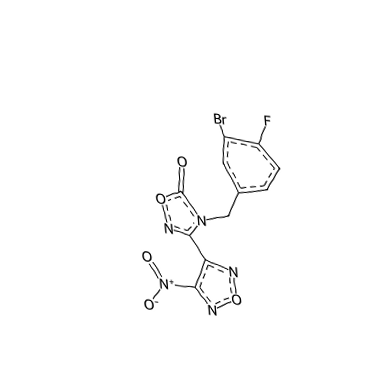 O=c1onc(-c2nonc2[N+](=O)[O-])n1Cc1ccc(F)c(Br)c1